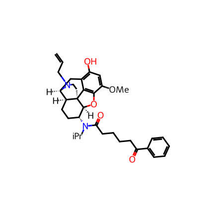 C=CCN1CC[C@]23c4c5c(O)cc(OC)c4O[C@H]2[C@H](N(C(=O)CCCCC(=O)c2ccccc2)C(C)C)CC[C@H]3[C@H]1C5